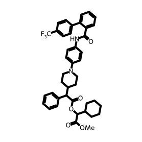 COC(=O)C(OC(=O)C(c1ccccc1)C1CCN(c2ccc(NC(=O)c3ccccc3-c3ccc(C(F)(F)F)cc3)cc2)CC1)C1CCCCC1